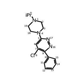 CC(C)N1CCN(c2cc(Cl)c(-c3ccccc3)nn2)CC1